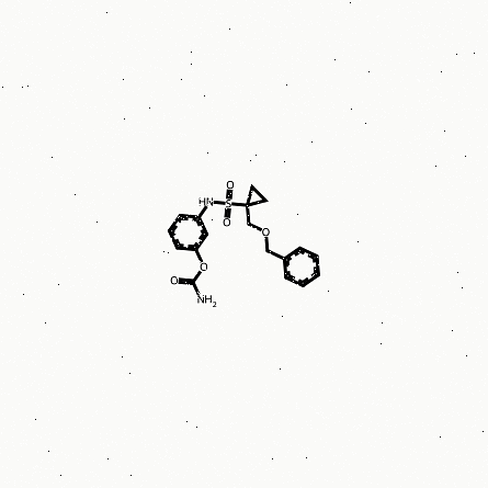 NC(=O)Oc1cccc(NS(=O)(=O)C2(COCc3ccccc3)CC2)c1